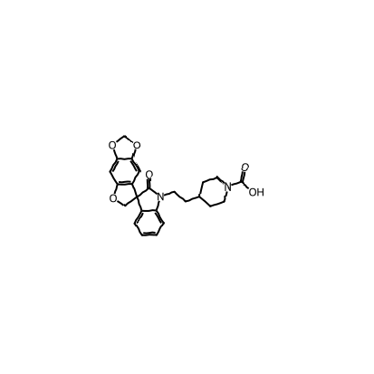 O=C(O)N1CCC(CCN2C(=O)C3(COc4cc5c(cc43)OCO5)c3ccccc32)CC1